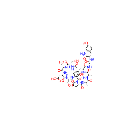 CC(=O)N[C@@H](CO)C(=O)N[C@@H](CO)C(=O)N[C@@H](CC(=O)O)C(=O)N[C@H](C(=O)N[C@H](C(=O)N1CCC[C@H]1C(=O)N[C@@H](C)C(=O)N[C@@H](C)C(=O)N[C@@H](Cc1ccccc1)C(=O)N[C@@H](C)C(=O)N[C@@H](Cc1ccc(O)cc1)C(N)=O)[C@@H](C)O)[C@@H](C)O